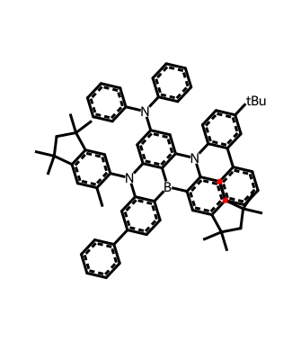 Cc1cc2c(cc1N1c3cc(-c4ccccc4)ccc3B3c4cc5c(cc4N(c4ccc(C(C)(C)C)cc4-c4ccccc4)c4cc(N(c6ccccc6)c6ccccc6)cc1c43)C(C)(C)CC5(C)C)C(C)(C)CC2(C)C